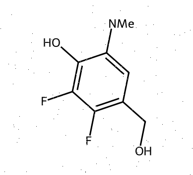 CNc1cc(CO)c(F)c(F)c1O